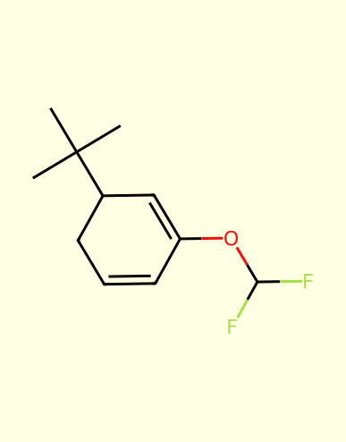 CC(C)(C)C1C=C(OC(F)F)C=CC1